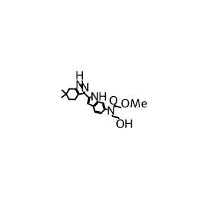 COCC(=O)N(CCO)c1ccc2cc(-c3n[nH]c4c3CCC(C)(C)C4)[nH]c2c1